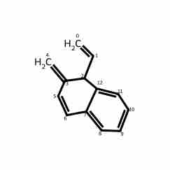 C=CC1C(=C)C=Cc2ccccc21